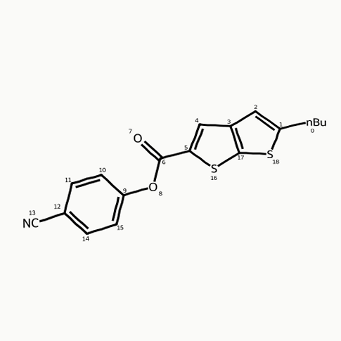 CCCCc1cc2cc(C(=O)Oc3ccc(C#N)cc3)sc2s1